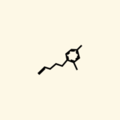 C=CCCCc1ccc(C)cc1C